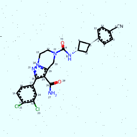 N#Cc1ccc([C@H]2C[C@@H](NC(=O)N3CCn4nc(-c5ccc(Cl)c(Cl)c5)c(C(N)=O)c4C3)C2)cc1